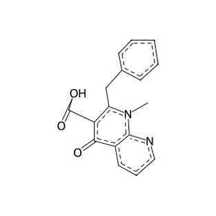 Cn1c(Cc2ccccc2)c(C(=O)O)c(=O)c2cccnc21